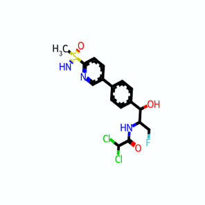 CS(=N)(=O)c1ccc(-c2ccc(C(O)C(CF)NC(=O)C(Cl)Cl)cc2)cn1